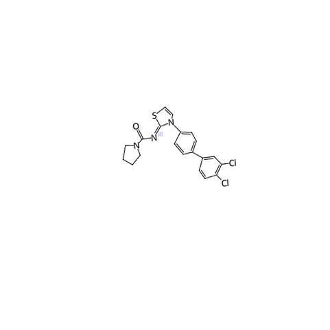 O=C(/N=c1\sccn1-c1ccc(-c2ccc(Cl)c(Cl)c2)cc1)N1CCCC1